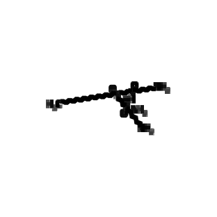 CCCCCCCCCCCCCCCC(=O)N(CCCNC(=O)CCCCCN)CCCNC(=O)[C@@H](N)CCCCN